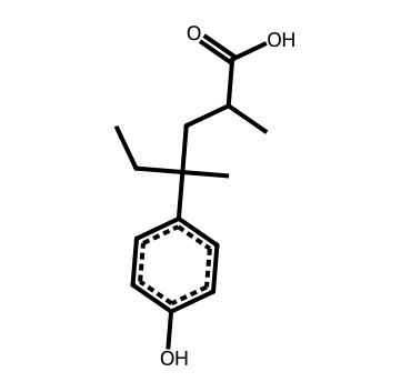 CCC(C)(CC(C)C(=O)O)c1ccc(O)cc1